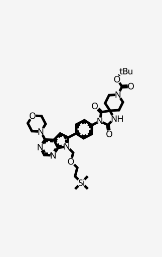 CC(C)(C)OC(=O)N1CCC2(CC1)NC(=O)N(c1ccc(-c3cc4c(N5CCOCC5)ncnc4n3COCC[Si](C)(C)C)cc1)C2=O